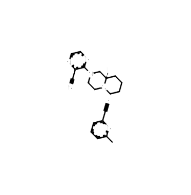 Cc1cccc(C#C[C@H]2CCC[C@H]3CN(c4nccnc4C#N)CCN32)n1